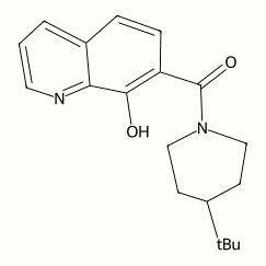 CC(C)(C)C1CCN(C(=O)c2ccc3cccnc3c2O)CC1